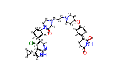 O=C1CCC(c2ccc(OC3CCN(CCCN4CCN(c5cccc(-c6cnc7[nH]cc(C8CC8)c7c6Cl)c5)C(=O)C4)CC3)cc2)C(=O)N1